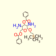 CS(C)(C)CCOC1OC(COC(=O)c2ccccc2)C(N)C(OC(=O)c2ccccc2)C1N